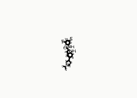 CC(C)N1CCC(c2ccc3[nH]c(C(=O)Nc4cc(F)cc(F)c4)cc3c2)C1